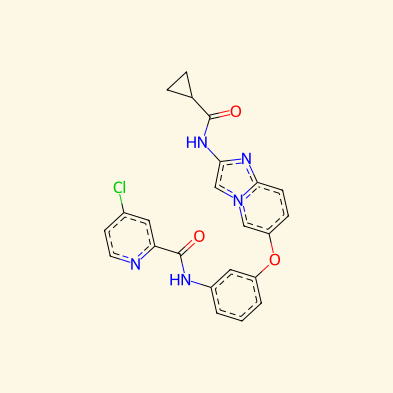 O=C(Nc1cccc(Oc2ccc3nc(NC(=O)C4CC4)cn3c2)c1)c1cc(Cl)ccn1